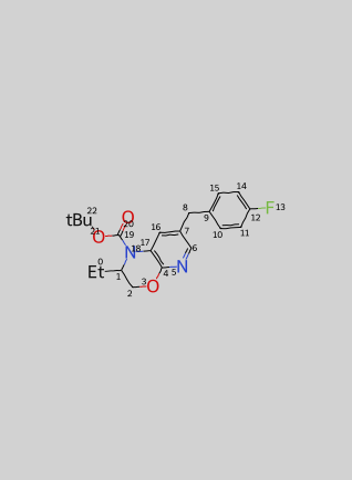 CCC1COc2ncc(Cc3ccc(F)cc3)cc2N1C(=O)OC(C)(C)C